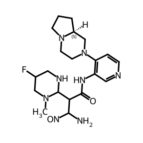 CN1CC(F)CNC1C(C(=O)Nc1cnccc1N1CCN2CCC[C@H]2C1)C(N)N=O